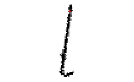 CCCCC/C=C\C/C=C\CCCCCCCCOC(=O)CCCCCCCCCCCCCCCCCCCCCCCCCCCCCCCC